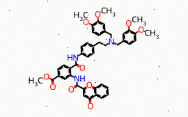 COC(=O)c1ccc(C(=O)Nc2ccc(CCN(Cc3ccc(OC)c(OC)c3)Cc3ccc(OC)c(OC)c3)cc2)c(NC(=O)c2cc(=O)c3ccccc3o2)c1